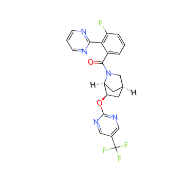 O=C(c1cccc(F)c1-c1ncccn1)N1C[C@H]2C[C@@H](Oc3ncc(C(F)(F)F)cn3)[C@@H]1C2